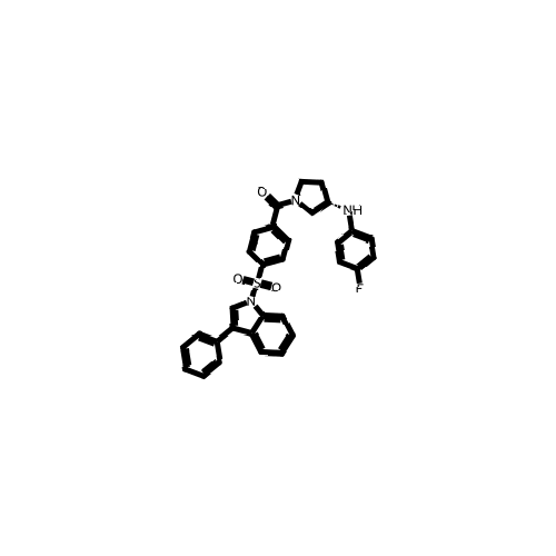 O=C(c1ccc(S(=O)(=O)n2cc(-c3ccccc3)c3ccccc32)cc1)N1CC[C@H](Nc2ccc(F)cc2)C1